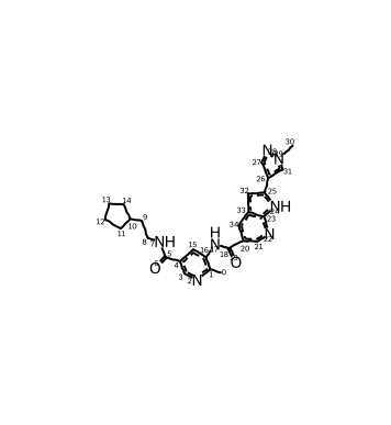 Cc1ncc(C(=O)NCCC2CCCC2)cc1NC(=O)c1cnc2[nH]c(-c3cnn(C)c3)cc2c1